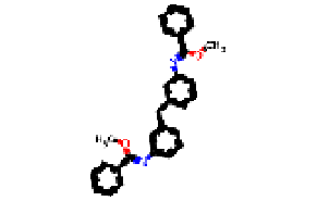 COC(=Nc1cccc(Cc2cccc(N=C(OC)c3ccccc3)c2)c1)c1ccccc1